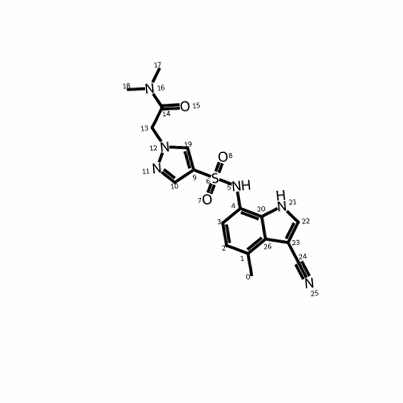 Cc1ccc(NS(=O)(=O)c2cnn(CC(=O)N(C)C)c2)c2[nH]cc(C#N)c12